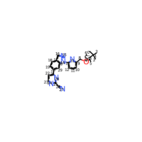 CC(C)(C)[Si](C)(C)OCc1cccc(-n2ncc3ccc(-c4ccnc(C#N)n4)cc32)n1